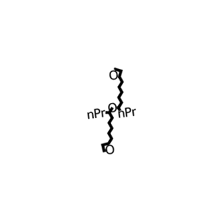 CCCC(CCCCCC1CCO1)OC(CCC)CCCCCC1CCO1